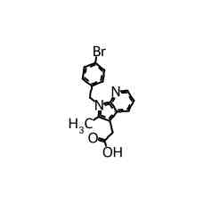 Cc1c(CC(=O)O)c2cccnc2n1Cc1ccc(Br)cc1